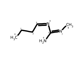 CCC/C=N\C(N)=N/C